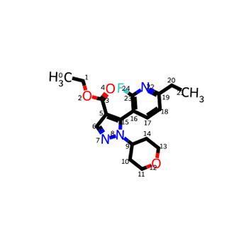 CCOC(=O)c1cnn(C2CCOCC2)c1-c1ccc(CC)nc1F